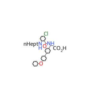 CCCCCCCNc1ccc(Cl)cc1C(=O)NC(CC(=O)O)c1ccc(-c2ccc(Oc3ccccc3)cc2)cc1